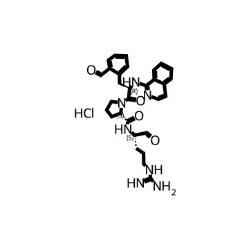 Cl.N=C(N)NCCC[C@@H](C=O)NC(=O)[C@@H]1CCCN1C(=O)[C@@H](Cc1ccccc1C=O)Nc1nccc2ccccc12